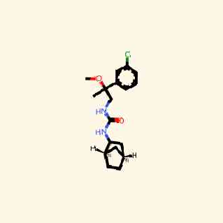 COC(C)(CNC(=O)NC1C[C@@H]2CC[C@H]1C2)c1cccc(Cl)c1